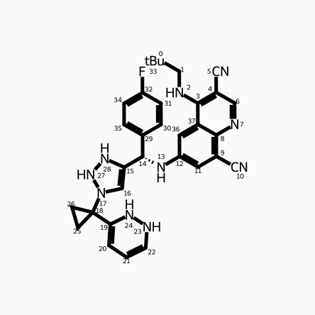 CC(C)(C)CNc1c(C#N)cnc2c(C#N)cc(N[C@H](C3=CN(C4(C5=CC=CNN5)CC4)NN3)c3ccc(F)cc3)cc12